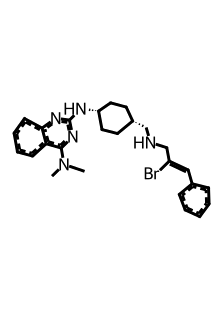 CN(C)c1nc(N[C@H]2CC[C@@H](CNC/C(Br)=C/c3ccccc3)CC2)nc2ccccc12